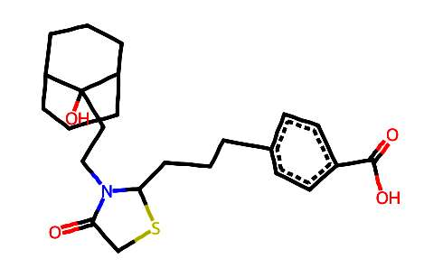 O=C(O)c1ccc(CCCC2SCC(=O)N2CCC2(O)C3CCCC2CCC3)cc1